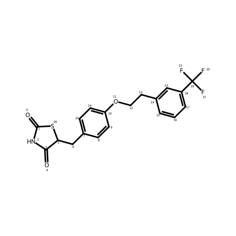 O=C1NC(=O)C(Cc2ccc(OCCc3cccc(C(F)(F)F)c3)cc2)S1